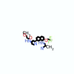 C=C(C#N)CNc1c(OCC(F)(F)F)ccc2ccc(-c3cc(NC(=O)CCOC)ccn3)cc12